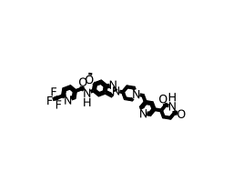 COc1cc2nn(C3CCN(Cc4cncc(C5CCC(=O)NC5=O)c4)CC3)cc2cc1NC(=O)c1ccc(C(F)(F)F)nc1